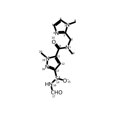 CN(Cc1nccn1C)C(=O)c1cc([S+]([O-])NC=O)nn1C